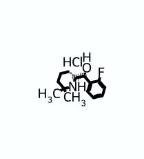 CC1(C)CCC[C@H]([C@@H](O)c2ccccc2F)N1.Cl